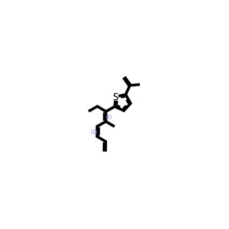 C=C/C=C\C(C)=C(/CC)c1ccc(C(=C)C)s1